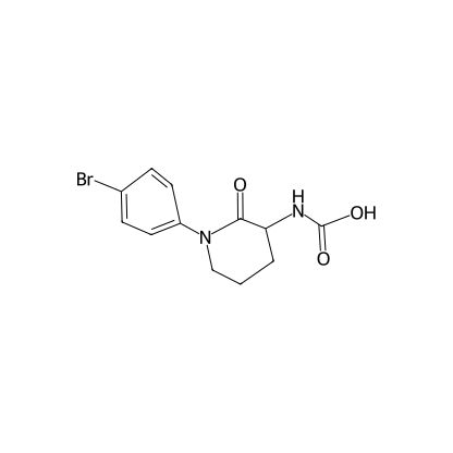 O=C(O)NC1CCCN(c2ccc(Br)cc2)C1=O